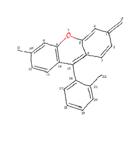 C=c1ccc2c(c1)Oc1cc(C)ccc1C=2c1ccccc1C